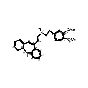 COc1ccc(CCN(C)CCC2=CC3=CC=CCC3Nc3ccccc32)cc1OC